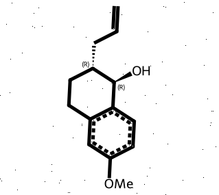 C=CC[C@H]1CCc2cc(OC)ccc2[C@@H]1O